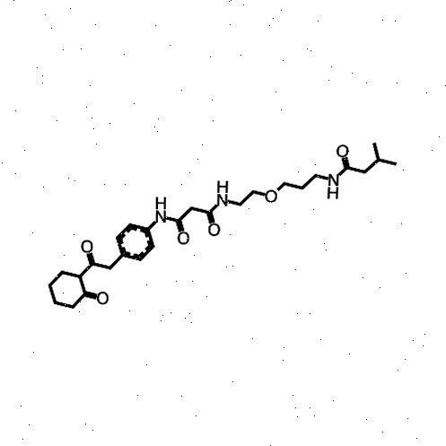 CC(C)CC(=O)NCCCOCCNC(=O)CC(=O)Nc1ccc(CC(=O)C2CCCCC2=O)cc1